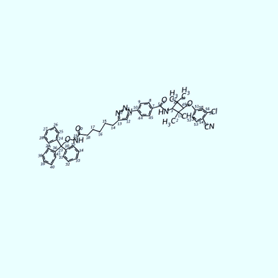 CC1(C)C(NC(=O)c2ccc(-n3cc(CCCCCC(=O)NOC(c4ccccc4)(c4ccccc4)c4ccccc4)nn3)cc2)C(C)(C)C1Oc1ccc(C#N)c(Cl)c1